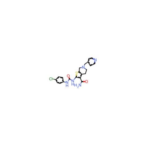 NC(=O)c1c(NC(=O)Nc2ccc(Cl)cc2)sc2c1CCN(Cc1ccncc1)C2